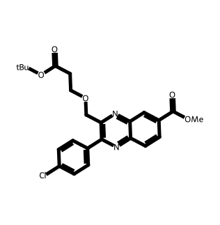 COC(=O)c1ccc2nc(-c3ccc(Cl)cc3)c(COCCC(=O)OC(C)(C)C)nc2c1